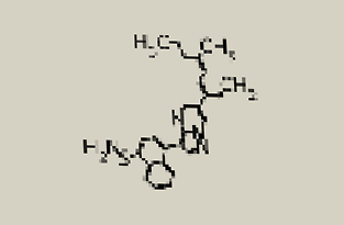 C=C/C(=C\C=C(\C)CCC)c1cnc2c(-c3ccc(SN)c4ccccc34)cnn2c1